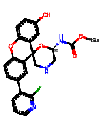 CC(C)(C)OC(=O)N[C@@H]1CNCC2(O1)c1cc(O)ccc1Oc1ccc(-c3cccnc3F)cc12